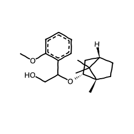 COc1ccccc1C(CO)O[C@@H]1C[C@@H]2CC[C@@]1(C)C2(C)C